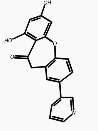 O=C1Cc2cc(-c3cccnc3)ccc2Oc2cc(O)cc(O)c21